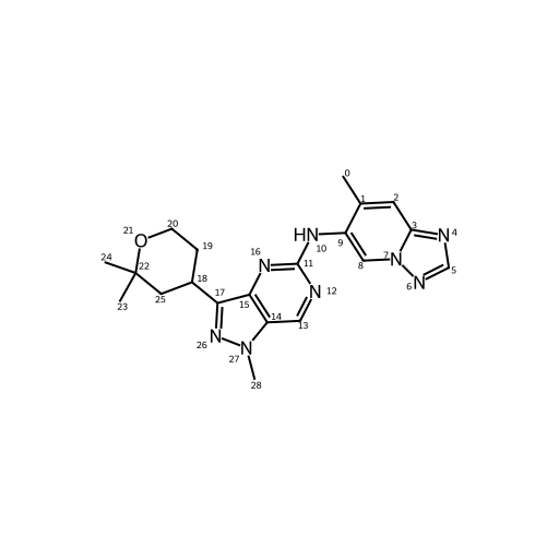 Cc1cc2ncnn2cc1Nc1ncc2c(n1)c(C1CCOC(C)(C)C1)nn2C